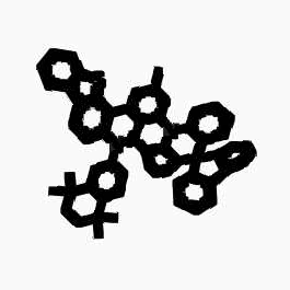 Cc1cc2c3c(c1)N1c4ccccc4C4(c5ccccc5-c5ccccc54)c4cccc(c41)B3N(c1ccc3c(c1)C(C)(C)CCC3(C)C)c1ccc3c(sc4ccccc43)c1-2